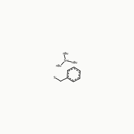 CCC[CH2][Sn+]([CH2]CCC)[CH2]CCC.[S-]Cc1ccccc1